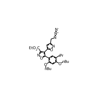 CCCCOc1cc(OCCCC)c(C(C)C)cc1-c1onc(C(=O)OCC)c1-c1cc(CN=[N+]=[N-])no1